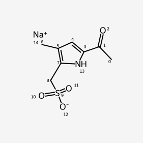 CC(=O)c1cc(C)c(CS(=O)(=O)[O-])[nH]1.[Na+]